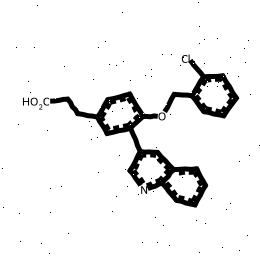 O=C(O)CCc1ccc(OCc2ccccc2Cl)c(-c2cnc3ccccc3c2)c1